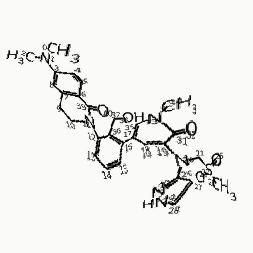 CN(C)c1ccc2c(c1)CCN(c1cccc(-c3cc(N(CS(C)(=O)=O)c4cc[nH]n4)c(=O)n(C)c3)c1CO)C2=O